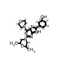 CC1CN(c2nc(N3CCOCC3)c3nc(-c4cccc(O)c4)[nH]c3n2)CC(C)O1